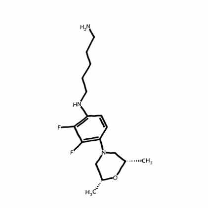 C[C@@H]1CN(c2ccc(NCCCCCN)c(F)c2F)C[C@H](C)O1